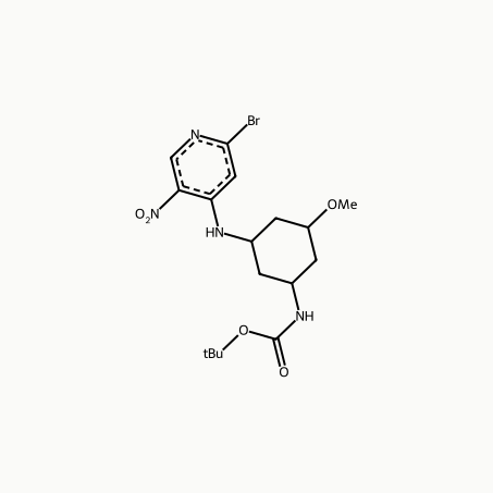 COC1CC(NC(=O)OC(C)(C)C)CC(Nc2cc(Br)ncc2[N+](=O)[O-])C1